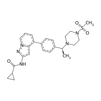 C[C@@H](c1ccc(-c2cccn3nc(NC(=O)C4CC4)cc23)cc1)N1CCN(S(C)(=O)=O)CC1